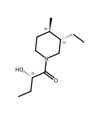 CC[C@@H]1CN(C(=O)[C@@H](O)CC)CC[C@H]1C